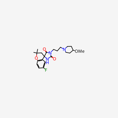 COC1CCN(CCCN2C(=O)NC3(CC(C)(C)Oc4ccc(F)cc43)C2=O)CC1